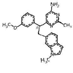 COc1cccc([C@H](Cc2ccc3ccn(C)c3c2)c2cc(N)nc(C)n2)c1